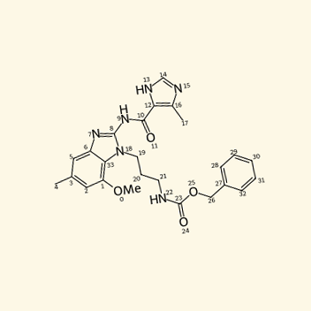 COc1cc(C)cc2nc(NC(=O)c3[nH]cnc3C)n(CCCNC(=O)OCc3ccccc3)c12